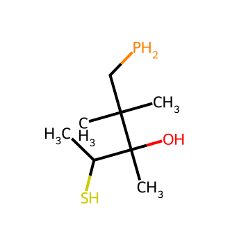 CC(S)C(C)(O)C(C)(C)CP